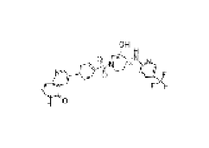 O=c1[nH]ncc2ncc(-c3ccc(S(=O)(=O)N4CC[C@@H](Nc5ccc(C(F)(F)F)cn5)[C@@H](O)C4)cc3)cc12